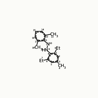 CCc1cc(C)cc(CC)c1N[N]c1c(C)cccc1C